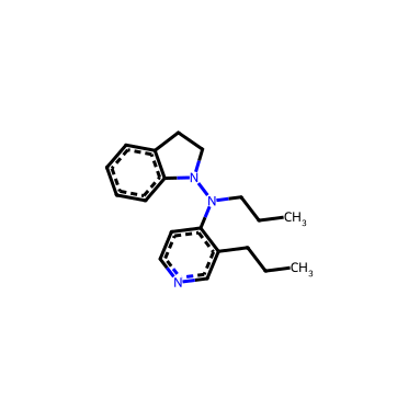 CCCc1cnccc1N(CCC)N1CCc2ccccc21